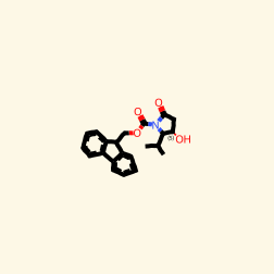 CC(C)C1[C@@H](O)CC(=O)N1C(=O)OCC1c2ccccc2-c2ccccc21